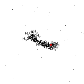 COCP(=O)(N[C@@H](C)C(=O)OC(C)C)Oc1ccc(COC(=O)Nc2ccn([C@@H]3O[C@H](CO[Si](C)(C)C)[C@@H](O[Si](C)(C)C)C3(F)F)c(=O)n2)cc1